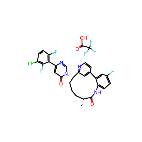 C[C@@H]1CCC[C@H](n2cnc(-c3c(F)ccc(Cl)c3F)cc2=O)c2cc(ccn2)-c2cc(F)ccc2NC1=O.O=C(O)C(F)(F)F